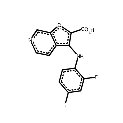 O=C(O)c1oc2cnccc2c1Nc1ccc(I)cc1F